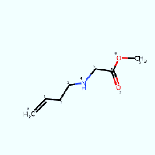 C=CCCNCC(=O)OC